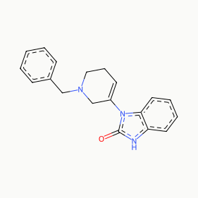 O=c1[nH]c2ccccc2n1C1=CCCN(Cc2ccccc2)C1